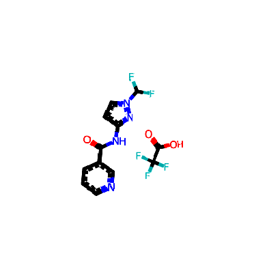 O=C(Nc1ccn(C(F)F)n1)c1cccnc1.O=C(O)C(F)(F)F